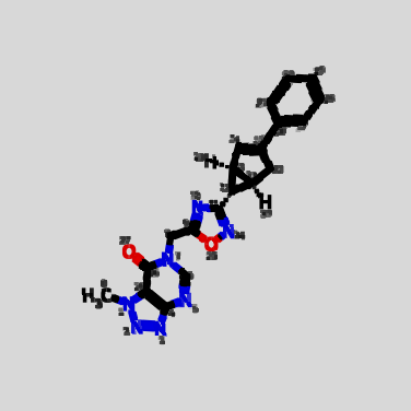 Cn1nnc2ncn(Cc3nc([C@@H]4[C@H]5C=C(c6ccccc6)C[C@H]54)no3)c(=O)c21